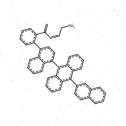 C=C(/C=C\CN)c1ccccc1-c1ccc(-c2c3ccccc3c(-c3ccc4ccccc4c3)c3ccccc23)c2ccccc12